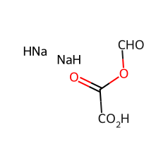 O=COC(=O)C(=O)O.[NaH].[NaH]